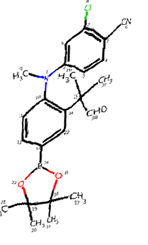 CN(c1ccc(C#N)c(Cl)c1)c1ccc(B2OC(C)(C)C(C)(C)O2)cc1C(C)(C)C=O